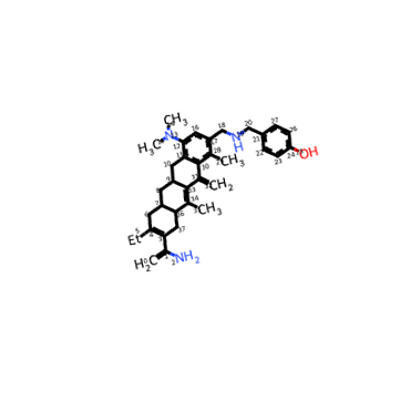 C=C(N)C1=C(CC)CC2CC3Cc4c(N(C)C)cc(CNCc5ccc(O)cc5)c(C)c4C(=C)C3=C(C)C2C1